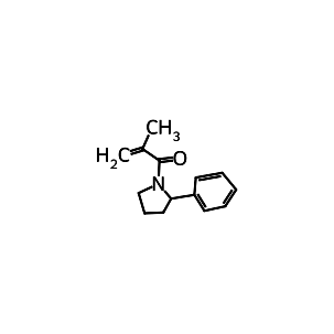 C=C(C)C(=O)N1CCCC1c1ccccc1